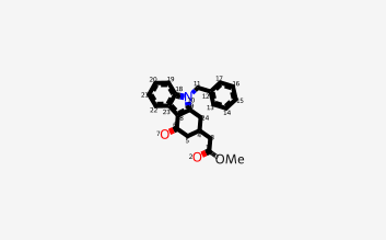 COC(=O)CC1CC(=O)c2c(n(Cc3ccccc3)c3ccccc23)C1